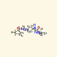 Cc1cc(F)cc(C(=O)NCC2CCC(NCC(=O)NC(C)(C)C)CC2)c1